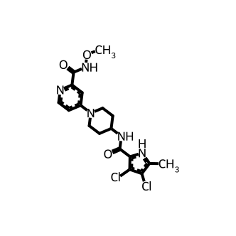 CONC(=O)c1cc(N2CCC(NC(=O)c3[nH]c(C)c(Cl)c3Cl)CC2)ccn1